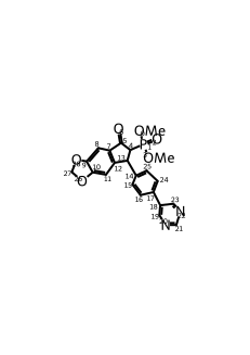 COP(=O)(OC)C1C(=O)c2cc3c(cc2C1c1ccc(-c2cncnc2)cc1)OCO3